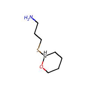 NCCCS[SiH]1CCCCO1